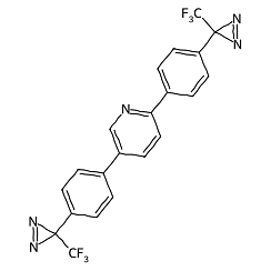 FC(F)(F)C1(c2ccc(-c3ccc(-c4ccc(C5(C(F)(F)F)N=N5)cc4)nc3)cc2)N=N1